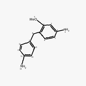 COc1cc(N)ccc1Cc1ccc(N)cc1